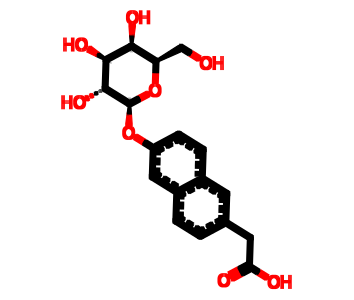 O=C(O)Cc1ccc2cc(O[C@@H]3O[C@H](CO)[C@H](O)[C@H](O)[C@H]3O)ccc2c1